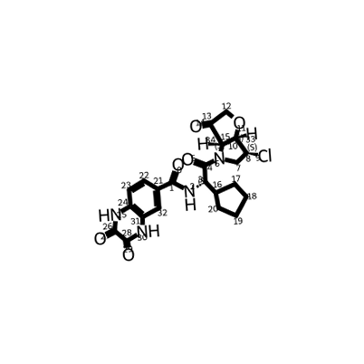 O=C(N[C@H](C(=O)N1C[C@H](Cl)[C@H]2OCC(=O)[C@H]21)C1CCCC1)c1ccc2[nH]c(=O)c(=O)[nH]c2c1